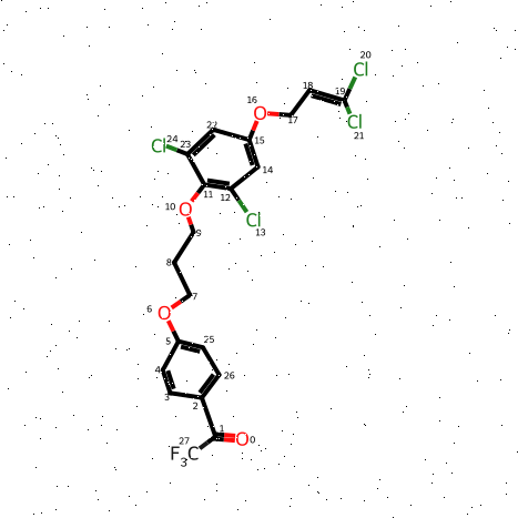 O=C(c1ccc(OCCCOc2c(Cl)cc(OCC=C(Cl)Cl)cc2Cl)cc1)C(F)(F)F